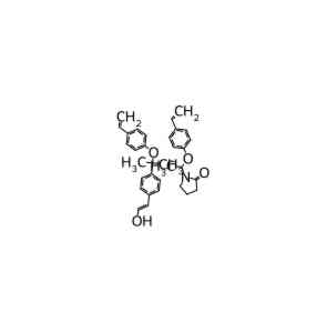 C=Cc1ccc(OC(C)(C)c2ccc(C=CO)cc2)cc1.C=Cc1ccc(OC(C)N2CCCC2=O)cc1